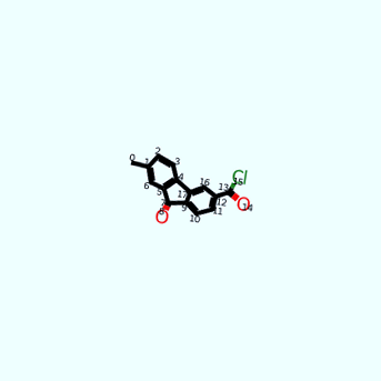 Cc1ccc2c(c1)C(=O)c1ccc(C(=O)Cl)cc1-2